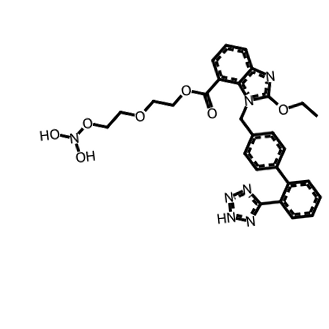 CCOc1nc2cccc(C(=O)OCCOCCON(O)O)c2n1Cc1ccc(-c2ccccc2-c2nn[nH]n2)cc1